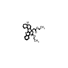 CCOC(=O)CC1(CC(=O)OCC)C2=CC[C@@H]3CCC=CC3=C2c2nc3ccccc3cc21